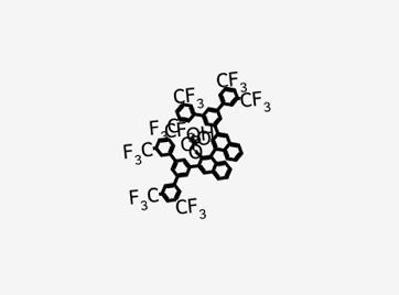 O=P1(O)Oc2c(-c3cc(C4=CC(C(F)(F)F)=CC(C(F)(F)F)C4)cc(-c4cc(C(F)(F)F)cc(C(F)(F)F)c4)c3)cc3ccccc3c2-c2c(c(-c3cc(-c4cc(C(F)(F)F)cc(C(F)(F)F)c4)cc(-c4cc(C(F)(F)F)cc(C(F)(F)F)c4)c3)cc3ccccc23)O1